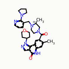 Cc1cc2[nH]c(=O)c3cnn(C4CCOCC4)c3c2cc1C(=O)N1CCN(Cc2cccnc2N2CCCC2)[C@@H](C)C1